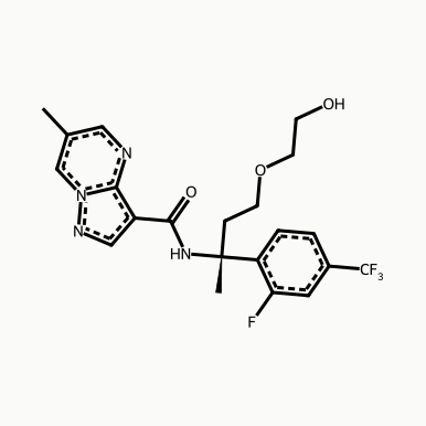 Cc1cnc2c(C(=O)N[C@](C)(CCOCCO)c3ccc(C(F)(F)F)cc3F)cnn2c1